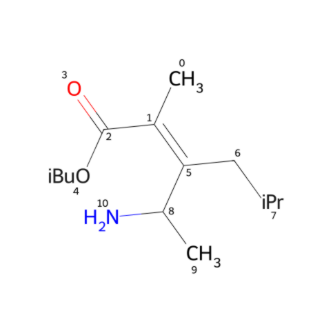 CC(C(=O)OCC(C)C)=C(CC(C)C)C(C)N